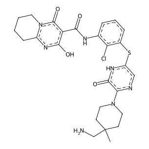 CC1(CN)CCN(c2ncc(Sc3cccc(NC(=O)c4c(O)nc5n(c4=O)CCCC5)c3Cl)[nH]c2=O)CC1